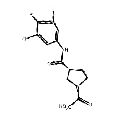 O=C(O)C(=O)N1CC[C@H](C(=O)Nc2cc(F)c(F)c(Cl)c2)C1